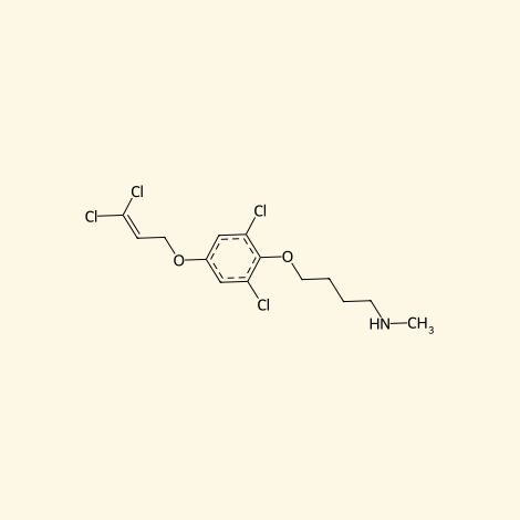 CNCCCCOc1c(Cl)cc(OCC=C(Cl)Cl)cc1Cl